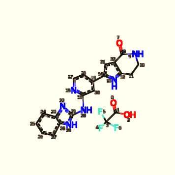 O=C(O)C(F)(F)F.O=C1NCCc2[nH]c(-c3ccnc(Nc4nc5ccccc5[nH]4)c3)cc21